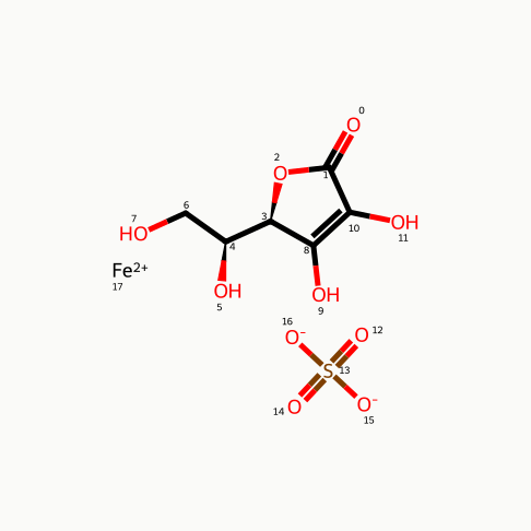 O=C1O[C@H]([C@@H](O)CO)C(O)=C1O.O=S(=O)([O-])[O-].[Fe+2]